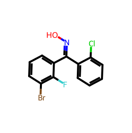 O/N=C(/c1ccccc1Cl)c1cccc(Br)c1F